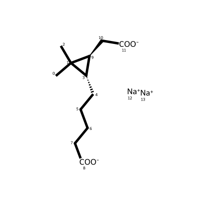 CC1(C)[C@@H](CCCCC(=O)[O-])[C@@H]1CC(=O)[O-].[Na+].[Na+]